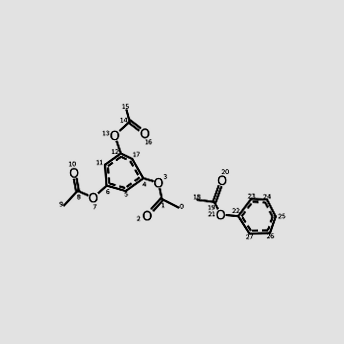 CC(=O)Oc1cc(OC(C)=O)cc(OC(C)=O)c1.CC(=O)Oc1ccccc1